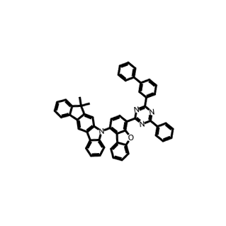 CC1(C)c2ccccc2-c2cc3c4ccccc4n(-c4ccc(-c5nc(-c6ccccc6)nc(-c6cccc(-c7ccccc7)c6)n5)c5oc6ccccc6c45)c3cc21